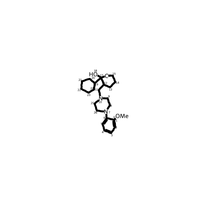 COc1ccccc1N1CCN(CC2CCCCC2(O)C2CCCCC2)CC1